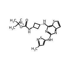 Cc1cc(Nc2nc(N[C@H]3C[C@H](NC(=O)OC(C)(C)C)C3)c3sccc3n2)sn1